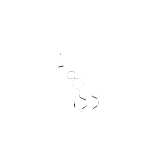 CC(C)(C)OC(=O)N1CC2(CCN(c3ncnc4ccc(Br)cc34)C2)C1